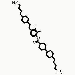 CCCCCC1CCC(CCc2ccc(OC(=O)C3CCC(C4CCC(CCCCC)CC4)CC3)c(F)c2F)CC1